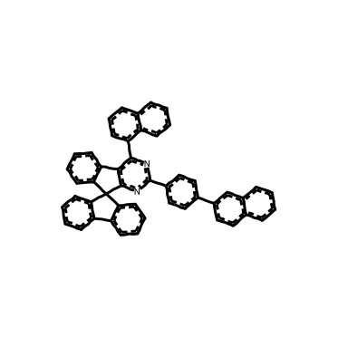 c1ccc2c(c1)-c1ccccc1C21c2ccccc2-c2c(-c3cccc4ccccc34)nc(-c3ccc(-c4ccc5ccccc5c4)cc3)nc21